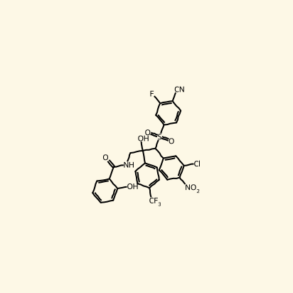 N#Cc1ccc(S(=O)(=O)C(c2ccc([N+](=O)[O-])c(Cl)c2)C(O)(CNC(=O)c2ccccc2O)c2ccc(C(F)(F)F)cc2)cc1F